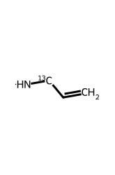 C=C[13CH2][NH]